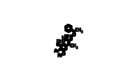 CCOc1cc([C@@H](C)N(CCO[C@@H](C)c2ccccc2)C(N)O)cc(OCC)c1C(C)=O